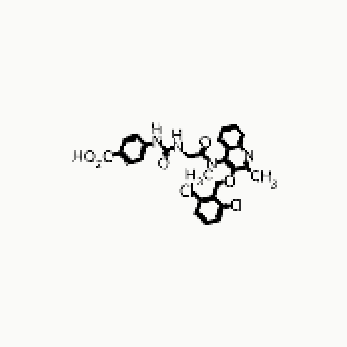 Cc1nc2ccccc2c(N(C)C(=O)CNC(=O)Nc2ccc(C(=O)O)cc2)c1OCc1c(Cl)cccc1Cl